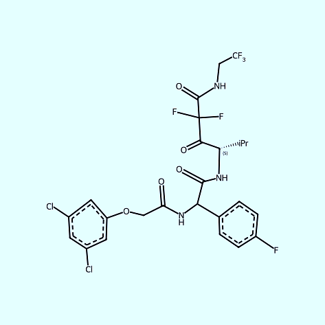 CC(C)[C@H](NC(=O)C(NC(=O)COc1cc(Cl)cc(Cl)c1)c1ccc(F)cc1)C(=O)C(F)(F)C(=O)NCC(F)(F)F